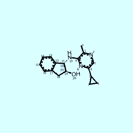 Cc1ncc(C2CC2)nc1N[C@H]1c2ccccc2C[C@@H]1O